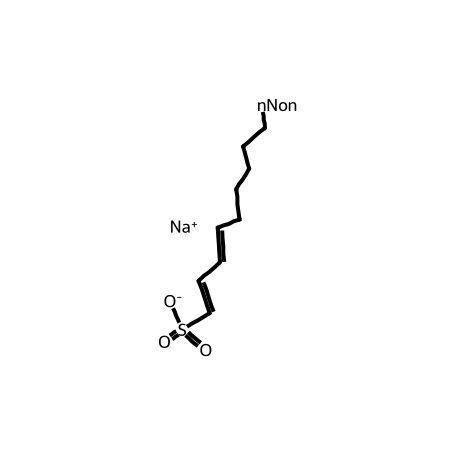 CCCCCCCCCCCCCCC=CC=CS(=O)(=O)[O-].[Na+]